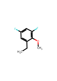 CCc1cc(F)cc(F)c1OC